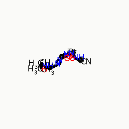 CC(C)C(C(=O)N1CCC[C@H]1C(=O)NCc1ccc(C#N)cc1)N1Cc2ccc(N3CCN(CCCc4ccc(C(=O)NC5C(C)(C)CC5(C)C)cc4)CC3)cc2C1=O